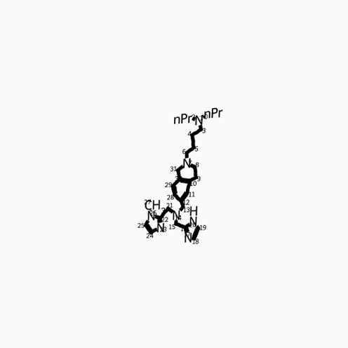 CCCN(CCC)CCCCN1CCc2cc(CN(Cc3ncc[nH]3)Cc3nccn3C)ccc2C1